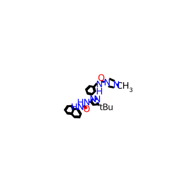 CN1CCN(C(=O)NCc2cccc(-n3nc(C(C)(C)C)cc3NC(=O)Nc3cccc4ccccc34)c2)CC1